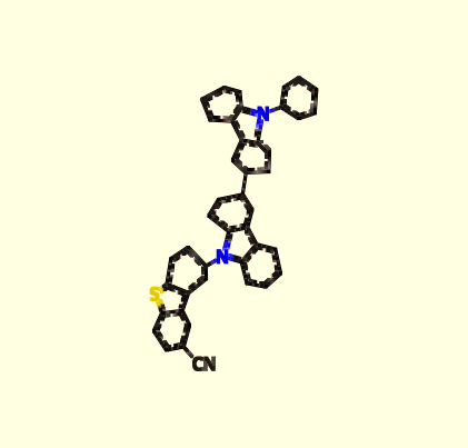 N#Cc1ccc2sc3ccc(-n4c5ccccc5c5cc(-c6ccc7c(c6)c6ccccc6n7-c6ccccc6)ccc54)cc3c2c1